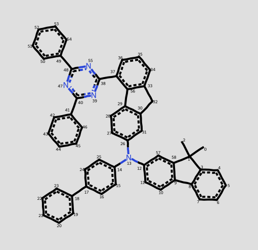 CC1(C)c2ccccc2-c2ccc(N(c3ccc(-c4ccccc4)cc3)c3ccc4c(c3)Cc3cccc(-c5nc(-c6ccccc6)nc(-c6ccccc6)n5)c3-4)cc21